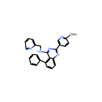 COc1ccc(-c2nc(NCc3ccccn3)c3c(-c4ccccc4)cccc3n2)cn1